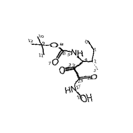 CC[C@H](C)[C@H](NC(=O)OC(C)(C)C)C(=O)C(=O)NO